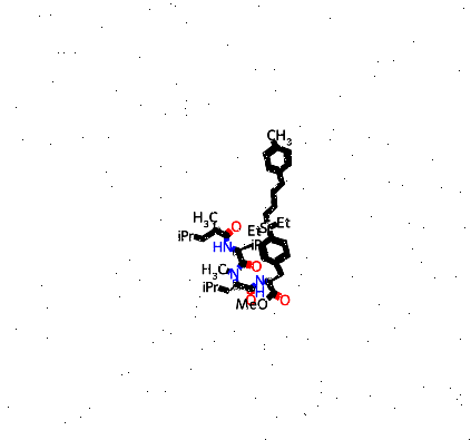 CC[Si](CC)(CCCCc1ccc(C)cc1)c1ccc(C[C@H](NC(=O)[C@H](CC(C)C)N(C)C(=O)[C@@H](NC(=O)[C@@H](C)CC(C)C)C(C)C)C(=O)OC)cc1